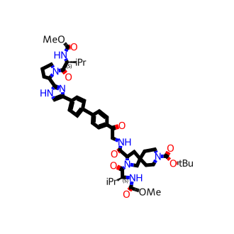 COC(=O)N[C@H](C(=O)N1CC2(CCN(C(=O)OC(C)(C)C)CC2)CC1C(=O)NCC(=O)c1ccc(-c2ccc(-c3c[nH]c(C4CCCN4C(=O)[C@@H](NC(=O)OC)C(C)C)n3)cc2)cc1)C(C)C